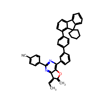 C=c1oc2c(-c3cccc(-c4ccc(-c5cccc6c5C5(CCCCC5)c5ccccc5-6)cc4)c3)nc(-c3ccc(C#N)cc3)nc2/c1=C/C